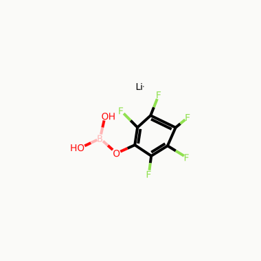 OB(O)Oc1c(F)c(F)c(F)c(F)c1F.[Li]